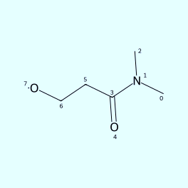 CN(C)C(=O)CC[O]